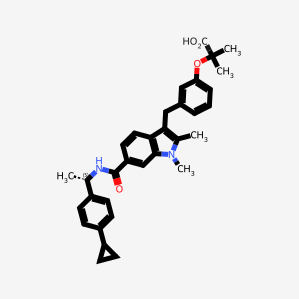 Cc1c(Cc2cccc(OC(C)(C)C(=O)O)c2)c2ccc(C(=O)N[C@@H](C)c3ccc(C4CC4)cc3)cc2n1C